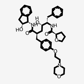 O=C(N[C@H]1c2ccccc2C[C@H]1O)[C@H](Cc1ccc(OCCN2CCOCC2)cc1)C[C@H](O)[C@H](Cc1ccccc1)NC(=O)[C@H]1CCCO1